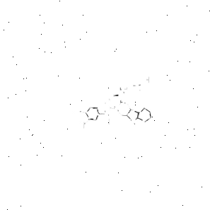 CN(CCC(=O)O)C(=O)[C@H]1Cc2c([nH]c3ccccc23)CN1C(=O)Nc1ccc(Cl)c(Cl)c1